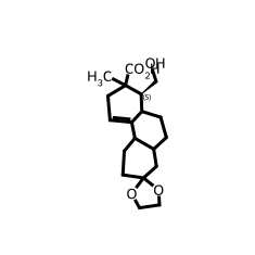 CC1(C(=O)O)CC=C2C3CCC4(CC3CCC2[C@@H]1CO)OCCO4